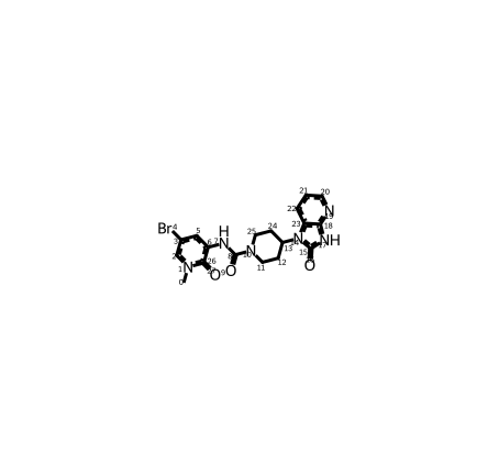 Cn1cc(Br)cc(NC(=O)N2CCC(n3c(=O)[nH]c4ncccc43)CC2)c1=O